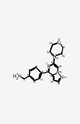 NCc1ccc(-c2nc(N3CCOCC3)cn3nccc23)cc1